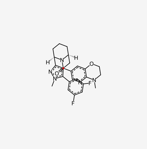 CN1CCOc2cc(C(=O)N3[C@H]4CCC[C@@H]3c3nn(C)c(-c5cc(F)cc(F)c5)c3C4)cnc21